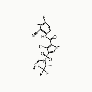 C=C=CN([C@H](C)C(F)(F)F)S(=O)(=O)c1cn(C)c(C(=O)Nc2ccc(F)c(C)c2C#N)c1Cl